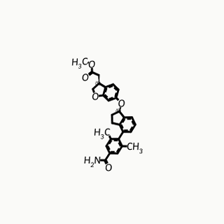 COC(=O)C[C@@H]1COc2cc(O[C@@H]3CCc4c(-c5c(C)cc(C(N)=O)cc5C)cccc43)ccc21